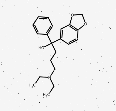 CCN(CC)CCCC(O)(c1ccccc1)c1ccc2c(c1)OCO2